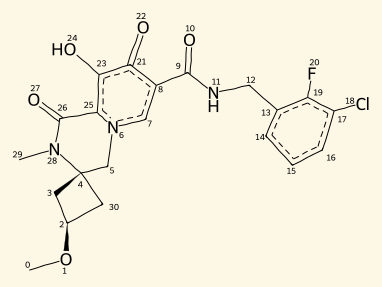 CO[C@H]1C[C@@]2(Cn3cc(C(=O)NCc4cccc(Cl)c4F)c(=O)c(O)c3C(=O)N2C)C1